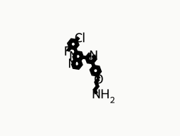 NCCCOc1ccc(-c2cncc(-c3cc(-c4cc(Cl)ccc4F)nc4ncccc34)c2)cc1